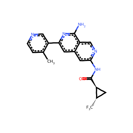 Cc1ccncc1-c1cc2cc(NC(=O)[C@H]3C[C@@H]3C(F)(F)F)ncc2c(N)n1